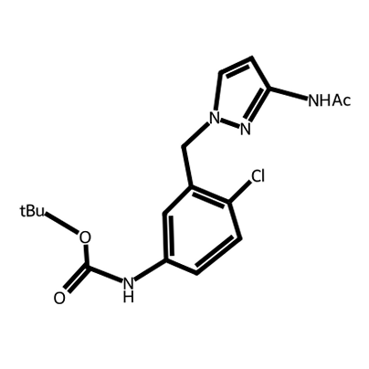 CC(=O)Nc1ccn(Cc2cc(NC(=O)OC(C)(C)C)ccc2Cl)n1